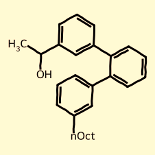 CCCCCCCCc1cccc(-c2ccccc2-c2cccc(C(C)O)c2)c1